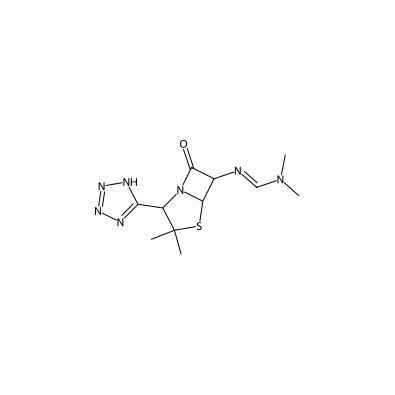 CN(C)C=NC1C(=O)N2C1SC(C)(C)C2c1nnn[nH]1